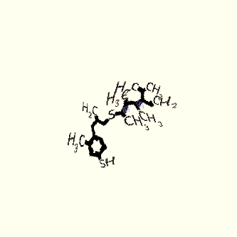 C=C/C(C(=C)C)=C(C)/C(C)=C(\C)SCC(=C)Cc1ccc(S)cc1C